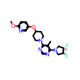 COc1ccc(OC2CCN(c3ncnc(N4C[C@H](F)[C@@H](F)C4)c3C)CC2)cn1